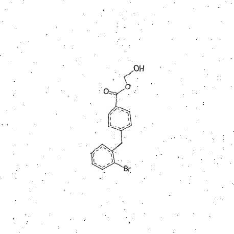 O=C(OCO)c1ccc(Cc2ccccc2Br)cc1